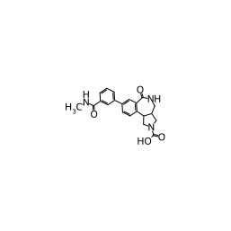 CNC(=O)c1cccc(-c2ccc3c(c2)C(=O)NCC2CN(C(=O)O)CC32)c1